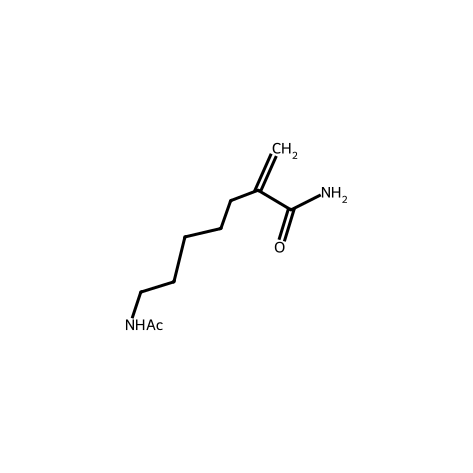 C=C(CCCCCNC(C)=O)C(N)=O